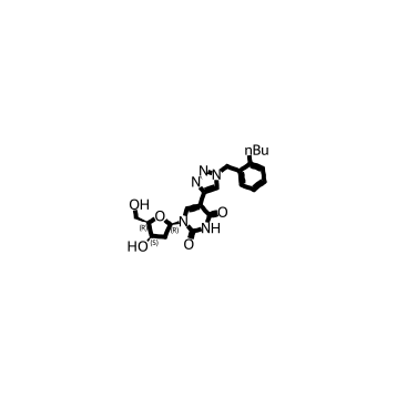 CCCCc1ccccc1Cn1cc(-c2cn([C@H]3C[C@H](O)[C@@H](CO)O3)c(=O)[nH]c2=O)nn1